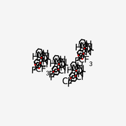 Cc1nc(-c2ccc(F)cc2)c2c(n1)[C@@H]1CCC[C@H](C2)N1C(=O)c1ccc(Cl)cc1Cl.Cc1nc(-c2ccc(F)cc2)c2c(n1)[C@@H]1CCC[C@H](C2)N1C(=O)c1ccc(F)cc1Cl.Cc1nc(-c2ccc(F)cc2)c2c(n1)[C@@H]1CCC[C@H](C2)N1C(=O)c1cccc(C(F)(F)F)c1C.Cc1nc(-c2ccc(F)cc2)c2c(n1)[C@@H]1CCC[C@H](C2)N1C(=O)c1cccc(C(F)(F)F)c1Cl